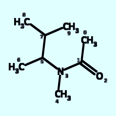 CC(=O)N(C)C(C)C(C)C